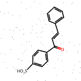 O=C(C=Cc1ccccc1)c1ccc(S(=O)(=O)O)cc1